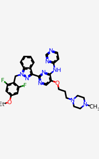 CCOc1cc(F)c(Cn2nc(-c3ncc(OCCCN4CCN(C)CC4)c(Nc4ccncn4)n3)c3ccccc32)c(F)c1